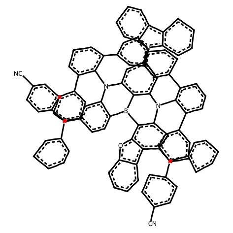 N#Cc1ccc(N(c2ccccc2)c2ccc3c(c2)N(c2c(-c4ccccc4)cccc2-c2ccccc2)c2cc(-n4c5ccccc5c5ccccc54)cc4c2B3c2c(cc(N(c3ccccc3)c3ccc(C#N)cc3)c3c2oc2ccccc23)N4c2c(-c3ccccc3)cccc2-c2ccccc2)cc1